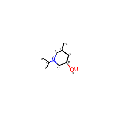 CC(C)N1C[C@@H](C)C[C@@H](O)C1